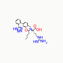 CCCCC(=O)N(Cc1ccc(-c2ccccc2-c2nnn[nH]2)cc1)[C@@H](CCCNC(=N)N)C(=O)O